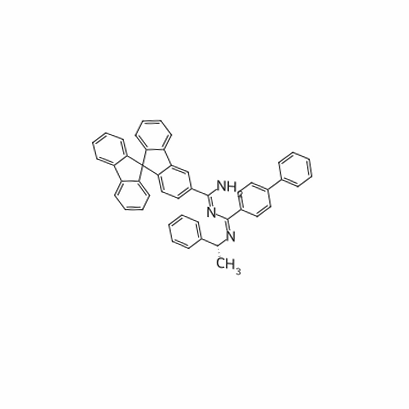 C[C@@H](/N=C(\N=C(/N)c1ccc2c(c1)-c1ccccc1C21c2ccccc2-c2ccccc21)c1ccc(-c2ccccc2)cc1)c1ccccc1